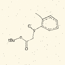 Cc1ccccc1[S+]([O-])CC(=O)OC(C)(C)C